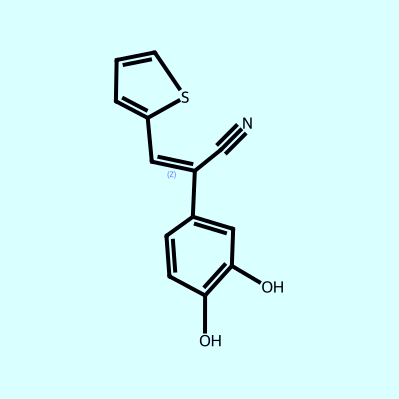 N#C/C(=C\c1cccs1)c1ccc(O)c(O)c1